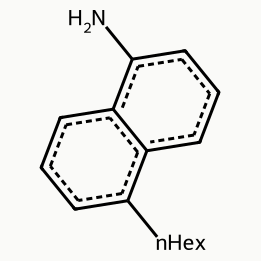 CCCCCCc1cccc2c(N)cccc12